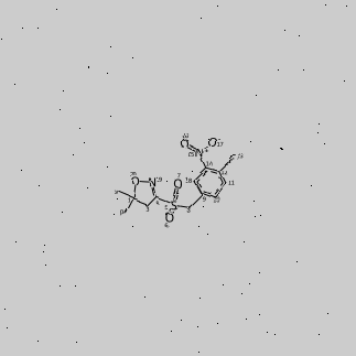 CC1(C)CC(S(=O)(=O)Cc2ccc(F)c([N+](=O)[O-])c2)=NO1